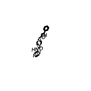 O=C(Nc1cnccn1)N1CCN(Cc2cc(-c3ccccc3)no2)CC1